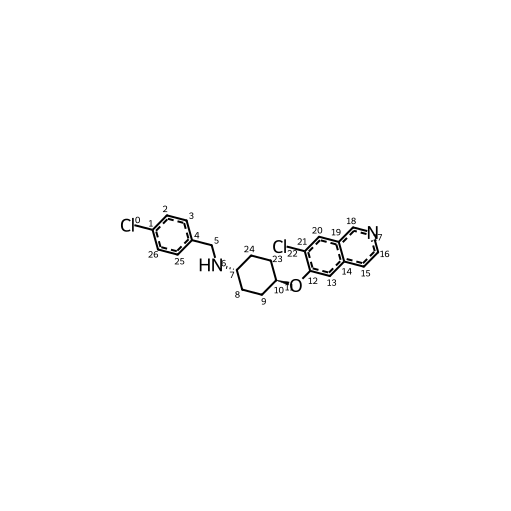 Clc1ccc(CN[C@H]2CC[C@H](Oc3cc4ccncc4cc3Cl)CC2)cc1